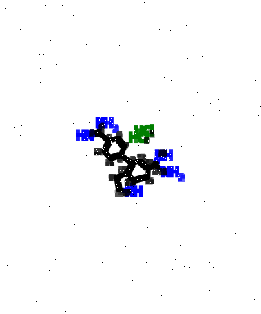 Cl.Cl.N=C(N)c1ccc(-c2cc(C(=N)N)cc3[nH]ccc23)cc1